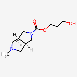 CN1C[C@@H]2CN(C(=O)OCCCO)C[C@@H]2C1